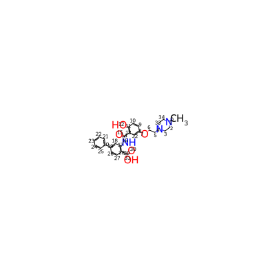 CN1CCN(CCOc2ccc(O)c(C(=O)Nc3cc(-c4ccccc4)ccc3C(=O)O)c2)CC1